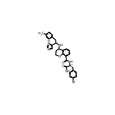 Cc1ccc(CC(NC2CCOc3c(C(=O)N[C@@H](Cc4ccc(Br)cc4)C(N)=O)cccc32)c2cnc[nH]2)cc1